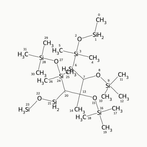 C[SiH2]O[Si](C)(C)[SiH2]C(O[Si](C)(C)C)C(C)(O[Si](C)(C)C)[C]([SiH2]O[SiH3])[Si](C)(C)O[Si](C)(C)C